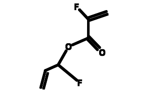 C=CC(F)OC(=O)C(=C)F